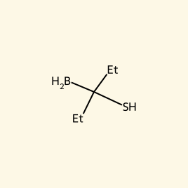 BC(S)(CC)CC